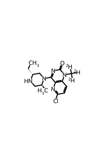 [2H]C([2H])([2H])n1c(=O)nc(N2C[C@@H](CC)NC[C@@H]2C)c2nc(Cl)ccc21